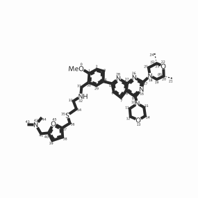 COc1ccc(-c2ccc3c(N4CCOCC4)nc(N4C[C@@H](C)O[C@@H](C)C4)nc3n2)cc1CNCCSCc1ccc(CN(C)C)o1